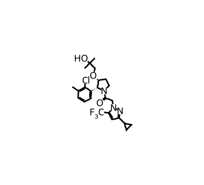 Cc1cccc([C@@H]2[C@H](OCC(C)(C)O)CCN2C(=O)Cn2nc(C3CC3)cc2C(F)(F)F)c1Cl